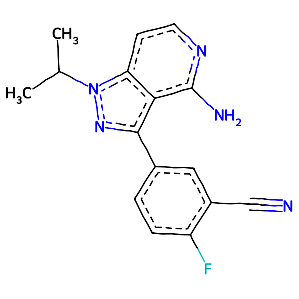 CC(C)n1nc(-c2ccc(F)c(C#N)c2)c2c(N)nccc21